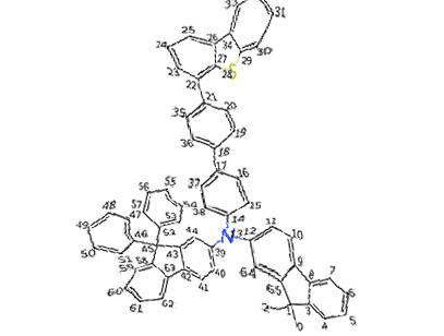 CC1(C)c2ccccc2-c2ccc(N(c3ccc(-c4ccc(-c5cccc6c5sc5ccccc56)cc4)cc3)c3ccc4c(c3)C(c3ccccc3)(c3ccccc3)c3ccccc3-4)cc21